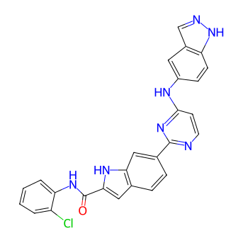 O=C(Nc1ccccc1Cl)c1cc2ccc(-c3nccc(Nc4ccc5[nH]ncc5c4)n3)cc2[nH]1